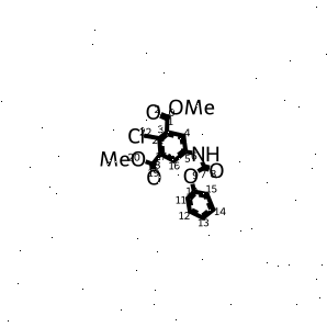 COC(=O)c1cc(NC(=O)Oc2ccccc2)cc(C(=O)OC)c1Cl